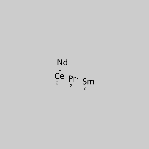 [Ce].[Nd].[Pr].[Sm]